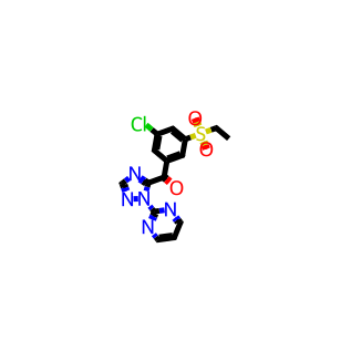 CCS(=O)(=O)c1cc(Cl)cc(C(=O)c2ncnn2-c2ncccn2)c1